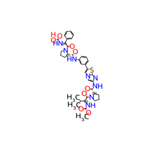 COC(=O)N[C@H](C(=O)N1CCC[C@H]1C(=O)Nc1cn2cc(-c3cccc(NC(=O)[C@@H]4CCCN4C(=O)[C@H](NC(=O)O)c4ccccc4)c3)sc2n1)C(C)C